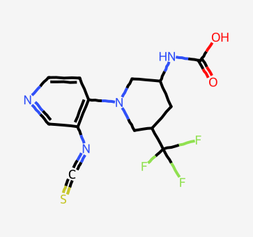 O=C(O)NC1CC(C(F)(F)F)CN(c2ccncc2N=C=S)C1